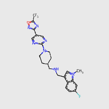 Cn1cc(CNCC2CCN(c3ncc(-c4noc(C(F)(F)F)n4)cn3)CC2)c2ccc(F)cc21